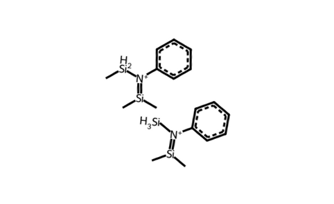 C[SiH2][N+](c1ccccc1)=[Si](C)C.C[Si](C)=[N+]([SiH3])c1ccccc1